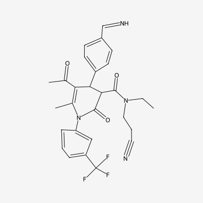 CCN(CCC#N)C(=O)C1C(=O)N(c2cccc(C(F)(F)F)c2)C(C)=C(C(C)=O)C1c1ccc(C=N)cc1